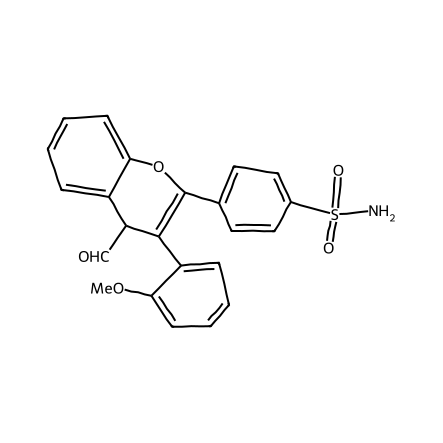 COc1ccccc1C1=C(c2ccc(S(N)(=O)=O)cc2)Oc2ccccc2C1C=O